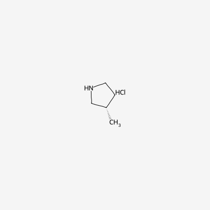 C[C@H]1CCNC1.Cl